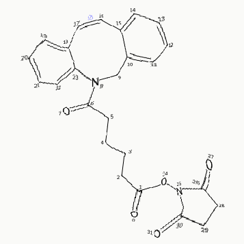 O=C(CCCCC(=O)N1Cc2ccccc2/C=C\c2ccccc21)ON1C(=O)CCC1=O